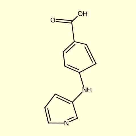 O=C(O)c1ccc(Nc2cccnc2)cc1